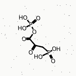 O=C(CP(=O)(O)O)C(=O)OP(=O)(O)O